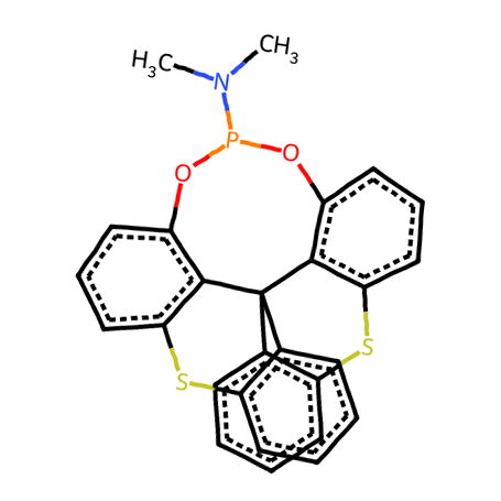 CN(C)P1Oc2cccc3c2C2(c4ccccc4S3)c3ccccc3Sc3cccc(c32)O1